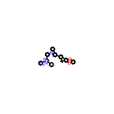 CC1(C)c2cc(-c3ccc4c(c3)c3ccccc3n4-c3cccc(C(/C=C(\N)C4=CC=CCC4)=N/CC4C=CC=CC4)c3)ccc2-c2cc3c(cc21)Oc1ccccc1O3